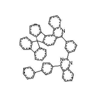 c1ccc(-c2ccc(-c3nc(-c4cccc(-c5nc6ccccc6c6c7c(ccc56)C5(c6ccccc6-c6ccccc65)c5ccccc5-7)c4)nc4ccccc34)cc2)cc1